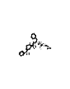 CN(C[C@H](CC1CCCCC1)NC(=O)C1CCCC(C(=O)c2ccccc2)C1)C(=O)OCC[Si](C)(C)C